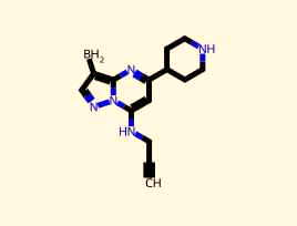 Bc1cnn2c(NCC#C)cc(C3CCNCC3)nc12